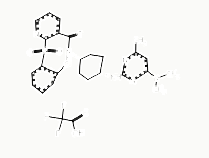 Cc1cc(N(C)C)nc(N[C@H]2CC[C@@H](NC(=O)c3cccnc3S(=O)(=O)c3ccccc3Cl)CC2)n1.O=C(O)C(F)(F)F